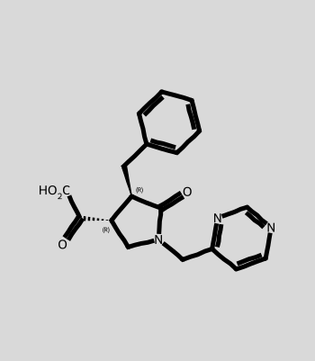 O=C(O)C(=O)[C@H]1CN(Cc2ccncn2)C(=O)[C@@H]1Cc1ccccc1